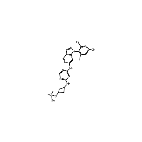 CC(C)(C)[Si](C)(C)OC1CC(Nc2cc(Nc3cc4c(cn3)cnn4-c3c(F)cc(C#N)cc3Cl)ncn2)C1